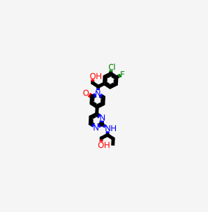 CCC(CO)Nc1nccc(-c2ccn(C(CO)c3ccc(F)c(Cl)c3)c(=O)c2)n1